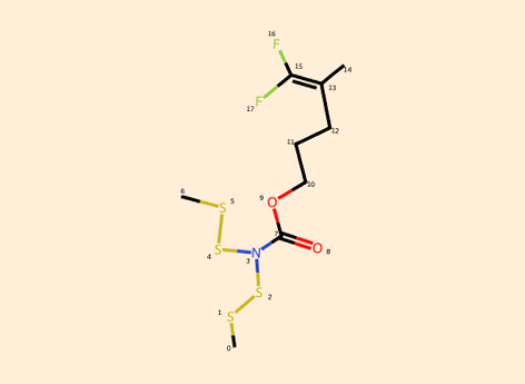 CSSN(SSC)C(=O)OCCCC(C)=C(F)F